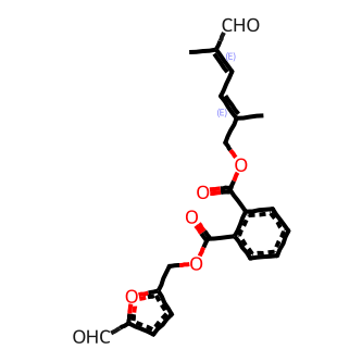 C/C(C=O)=C\C=C(/C)COC(=O)c1ccccc1C(=O)OCc1ccc(C=O)o1